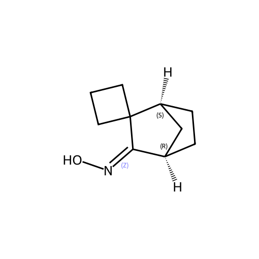 O/N=C1/[C@@H]2CC[C@@H](C2)C12CCC2